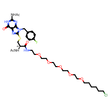 CC(=O)Nc1nc2c(nc(SC[C@H](NC(C)=O)C(=O)NCCOCCOCCOCCOCCOCCCCCCCl)n2Cc2ccc(F)cc2)c(=O)[nH]1